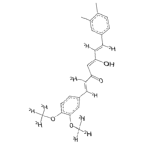 [2H]/C(C(=O)/C=C(O)/C([2H])=C(\[2H])c1ccc(C)c(C)c1)=C(/[2H])c1ccc(OC([2H])([2H])[2H])c(OC([2H])([2H])[2H])c1